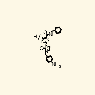 Cc1nc(N2CCN(Cc3ccc(N)cc3)C2=O)sc1C(=O)NCc1ccccc1